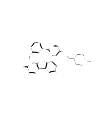 CN1CCC(COc2cnc(-c3cccc(Cn4c(=O)c(F)cc5c6cc(C#N)ccc6sc54)c3)nc2)CC1